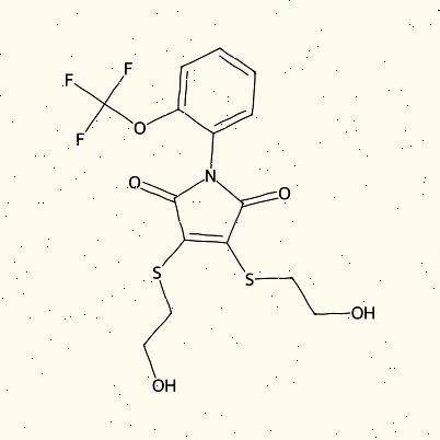 O=C1C(SCCO)=C(SCCO)C(=O)N1c1ccccc1OC(F)(F)F